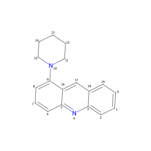 c1ccc2nc3cccc(N4CCCCC4)c3cc2c1